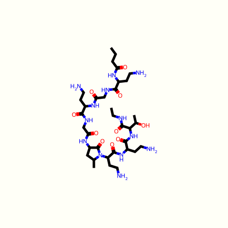 CCCC(=O)NC(CCN)C(=O)NCC(=O)NC(CCN)C(=O)NCC(=O)NC1CC(C)N(C(CCN)C(=O)NC(CCN)C(=O)NC(C(=O)NCC)C(C)O)C1=O